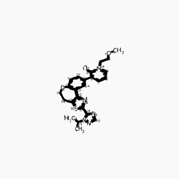 COCCn1cccc(-c2ccc3c(c2)-c2nc(-c4ncnn4C(C)C)sc2CCO3)c1=O